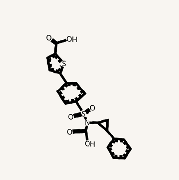 O=C(O)c1ccc(-c2ccc(S(=O)(=O)N(C(=O)O)C3CC3c3ccccc3)cc2)s1